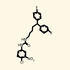 O=C(NCCCCC(c1ccc(F)cc1)c1ccc(F)cc1)Nc1ccc(Cl)c([N+](=O)[O-])c1